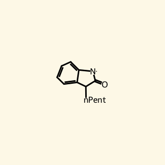 CCCCCC1C(=O)[N]c2ccccc21